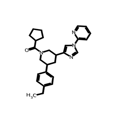 CCc1ccc(C2CC(c3cn(-c4ccccn4)cn3)CN(C(=O)C3CCCC3)C2)cc1